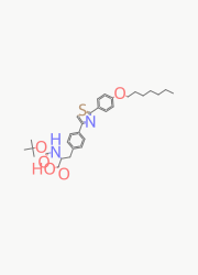 CCCCCCCOc1ccc(-c2nc(-c3ccc(CC(NC(=O)OC(C)(C)C)C(=O)O)cc3)cs2)cc1